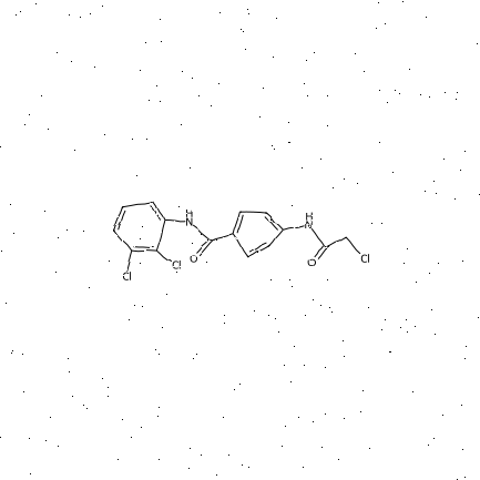 O=C(CCl)Nc1ccc(C(=O)Nc2cccc(Cl)c2Cl)cc1